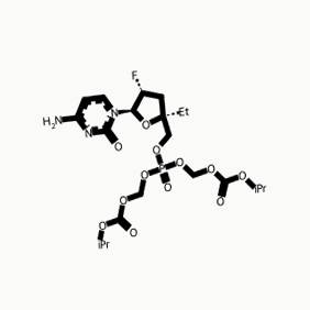 CC[C@@]1(COP(=O)(OCOC(=O)OC(C)C)OCOC(=O)OC(C)C)C[C@@H](F)[C@H](n2ccc(N)nc2=O)O1